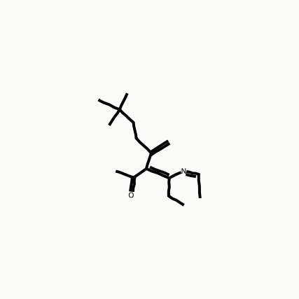 C=C(CCC(C)(C)C)/C(C(C)=O)=C(CC)\N=C/C